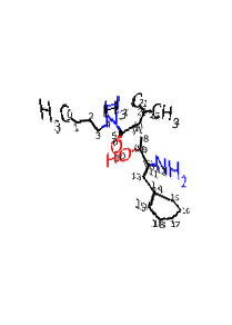 CCCCNC(=O)[C@@H](C[C@H](O)[C@@H](N)CC1CCCCC1)C(C)C